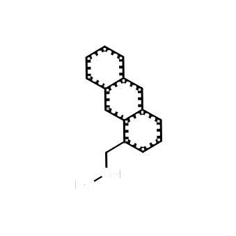 O[SiH2]Cc1cccc2cc3ccccc3cc12